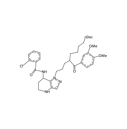 CCCCCCCCCCCCCCC(CCCn1ncc2c1C(NC(=O)c1ccccc1Cl)CCN2)C(=O)c1ccc(OC)c(OC)c1